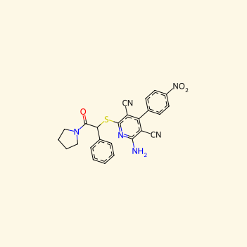 N#Cc1c(N)nc(SC(C(=O)N2CCCC2)c2ccccc2)c(C#N)c1-c1ccc([N+](=O)[O-])cc1